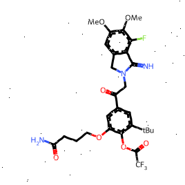 COc1cc2c(c(F)c1OC)C(=N)N(CC(=O)c1cc(OCCCC(N)=O)c(OC(=O)C(F)(F)F)c(C(C)(C)C)c1)C2